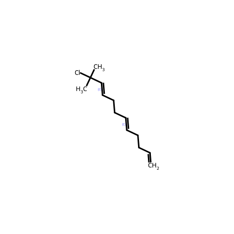 C=CCC/C=C/CC/C=C/C(C)(C)Cl